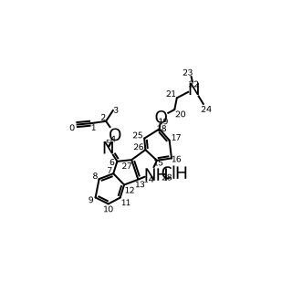 C#CC(C)ON=C1c2ccccc2-c2[nH]c3ccc(OCCN(C)C)cc3c21.Cl